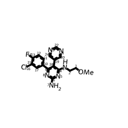 COCCNc1nc(N)nc(-c2ccc(F)c(Cl)c2)c1-c1cncnc1